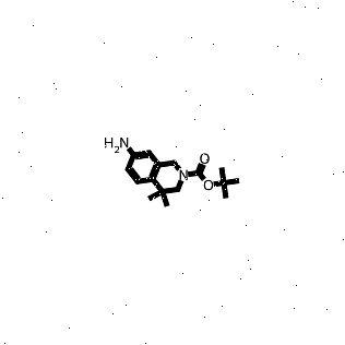 CC(C)(C)OC(=O)N1Cc2cc(N)ccc2C(C)(C)C1